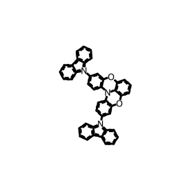 c1cc2c3c(c1)Oc1cc(-n4c5ccccc5c5ccccc54)ccc1N3c1ccc(-n3c4ccccc4c4ccccc43)cc1O2